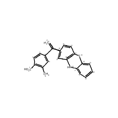 C=C(c1ccc(C(=O)O)c(C)c1)c1ccc2c(c1)Nc1ccccc1S2